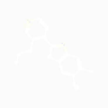 CCOc1cnccc1-c1nc2cc(C)c(Cl)cc2o1